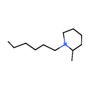 CCCCCCN1CCCCC1C